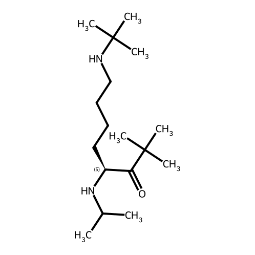 CC(C)N[C@@H](CCCCNC(C)(C)C)C(=O)C(C)(C)C